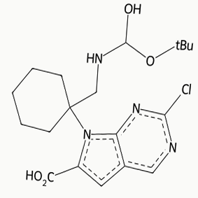 CC(C)(C)OC(O)NCC1(n2c(C(=O)O)cc3cnc(Cl)nc32)CCCCC1